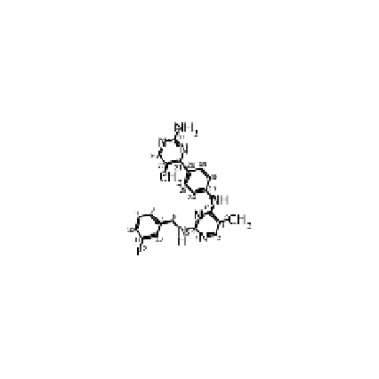 Cc1cnc(NCc2cccc(F)c2)nc1Nc1ccc(-c2nc(N)ncc2C)cc1